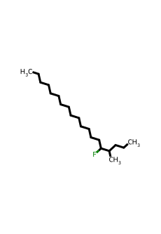 CCCCCCCCCCCCCCC(F)C(C)CCC